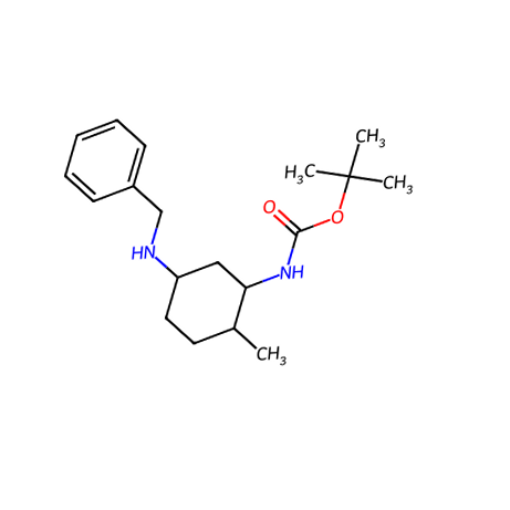 CC1CCC(NCc2ccccc2)CC1NC(=O)OC(C)(C)C